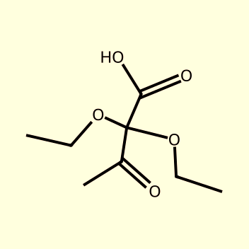 CCOC(OCC)(C(C)=O)C(=O)O